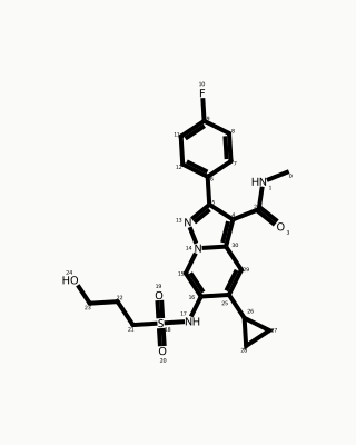 CNC(=O)c1c(-c2ccc(F)cc2)nn2cc(NS(=O)(=O)CCCO)c(C3CC3)cc12